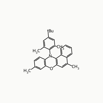 Cc1ccc2c(c1)Oc1cc(C)c3ccccc3c1N2c1c(C)cc(C(C)(C)C)cc1C